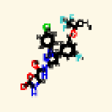 C[C@@H](OCc1cc(F)cc(-c2cc(NC(=O)[C@H]3CNC(=O)O3)nn2-c2ccc(Cl)cc2)c1)C(F)(F)F